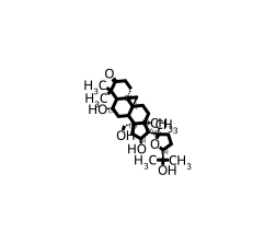 CC1(C)C(=O)CC[C@]23C[C@]24CC[C@]2(C)[C@@H]([C@@]5(C)CC[C@@H](C(C)(C)O)O5)[C@@H](O)C[C@@]2(CO)C4C[C@H](O)C13